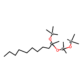 CCCCCCCCC[Si](C)(O[Si](C)(C)C)O[Si](C)(C)O[Si](C)(C)C